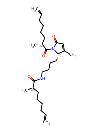 C=CCCCC[C@@H](C)C(=O)NCCCC[C@H]1C(C)=CC(=O)N1C(=O)[C@H](C)CCCCC=C